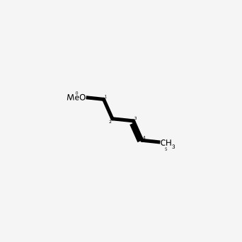 [CH2]OCCC=CC